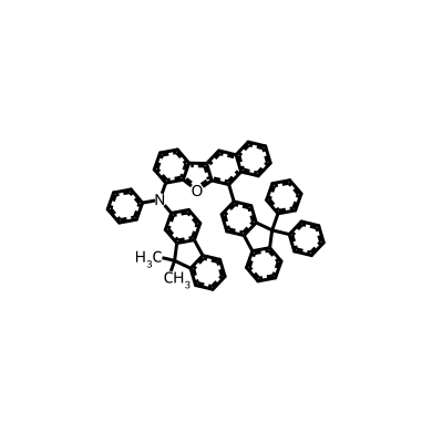 CC1(C)c2ccccc2-c2ccc(N(c3ccccc3)c3cccc4c3oc3c(-c5ccc6c(c5)C(c5ccccc5)(c5ccccc5)c5ccccc5-6)c5ccccc5cc34)cc21